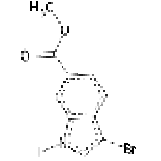 COC(=O)c1ccc2c(Br)cn(I)c2c1